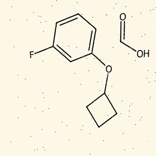 Fc1cccc(OC2CCC2)c1.O=CO